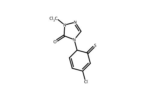 O=c1n(C2C=CC(Cl)=CC2=S)cnn1C(Cl)(Cl)Cl